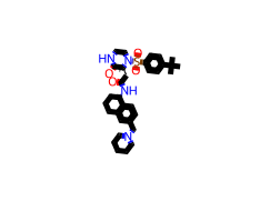 CC(C)(C)c1ccc(S(=O)(=O)N2CCNC(=O)[C@H]2CC(=O)N[C@@H]2CCCc3cc(CN4CCCCC4)ccc32)cc1